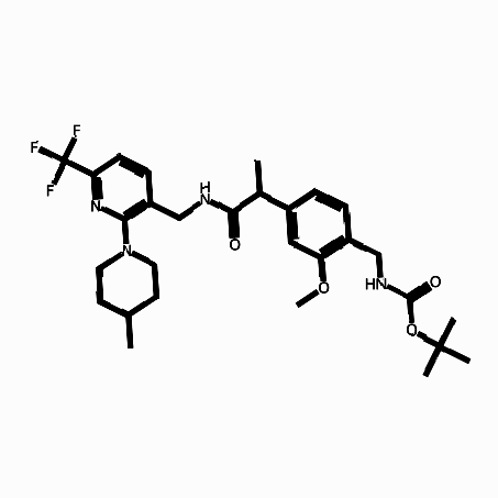 COc1cc(C(C)C(=O)NCc2ccc(C(F)(F)F)nc2N2CCC(C)CC2)ccc1CNC(=O)OC(C)(C)C